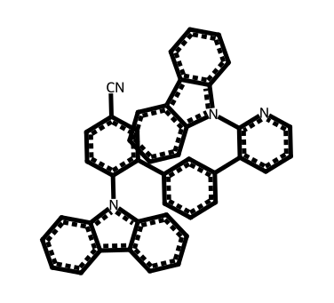 N#Cc1ccc(-n2c3ccccc3c3ccccc32)c(-c2cccc(-c3cccnc3-n3c4ccccc4c4ccccc43)c2)c1